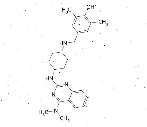 Cc1cc(CN[C@H]2CC[C@@H](Nc3nc(N(C)C)c4ccccc4n3)CC2)cc(C)c1O